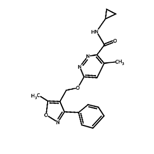 Cc1cc(OCc2c(-c3ccccc3)noc2C)nnc1C(=O)NC1CC1